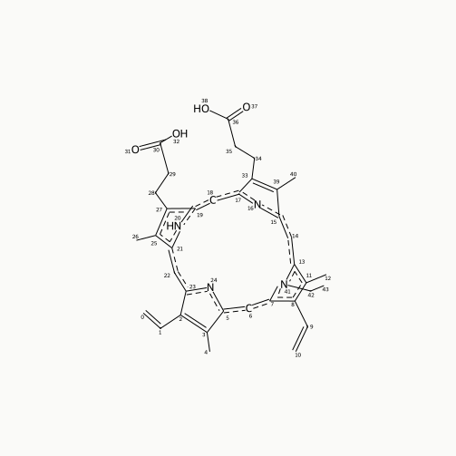 C=CC1=C(C)c2cc3c(C=C)c(C)c(cc4nc(cc5[nH]c(cc1n2)c(C)c5CCC(=O)O)C(CCC(=O)O)=C4C)n3CC